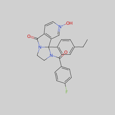 CCc1ccc(C23c4c[n+](O)ccc4C(=O)N2CCN3C(=O)c2ccc(F)cc2)cc1